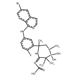 CN1CC(C)(c2cc(Nc3nccc4cc(Br)cnc34)ccc2F)NC(=NC(=O)O)C(C)(C)S1(O)O